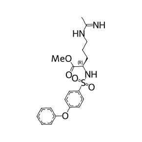 COC(=O)[C@@H](CCCNC(C)=N)NS(=O)(=O)c1ccc(Oc2ccccc2)cc1